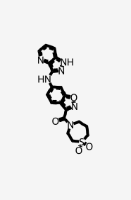 O=C(c1noc2cc(Nc3n[nH]c4cccnc34)ccc12)N1CCCS(=O)(=O)CC1